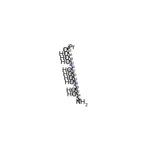 CC(C)C(=O)CC(O)CC(O)CC(O)/C=C/CC(O)CC(O)CC(O)CC(O)/C=C/CC(O)CC(O)CCCN